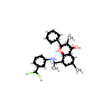 Cc1cc([C@@H](C)Nc2cccc(C(F)F)c2)c2oc(-c3ccccc3)c(C)c(=O)c2c1